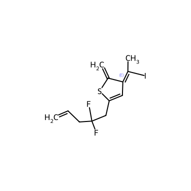 C=CCC(F)(F)Cc1c/c(=C(/C)I)c(=C)s1